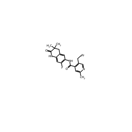 Cc1cc(C(=O)Nc2cc3c(cc2F)NC(=O)C(C)(C)C3)c(CC(C)C)cn1